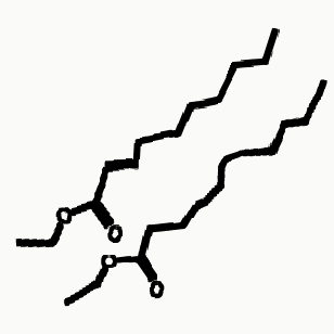 CCCCCCCC=CC(=O)OCC.CCCCCCCCCC(=O)OCC